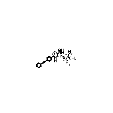 CC(C)(C)OC(=O)NC[C@H](NC(=O)c1ccc(C#Cc2ccccc2)cc1)C(=O)NO